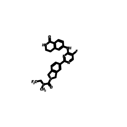 CN(CC(F)(F)F)C(=O)N1Cc2ccc(-c3ncc(F)c(Nc4ccc5c(c4)CCNC5=O)n3)cc2C1